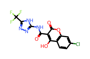 O=C(Nc1nnc(C(F)(F)F)[nH]1)c1c(O)c2ccc(Cl)cc2oc1=O